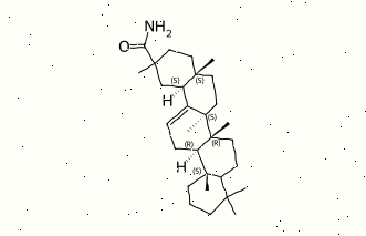 CC1(C(N)=O)CC[C@]2(C)CC[C@]3(C)C(=CC[C@@H]4[C@@]5(C)CCCC(C)(C)C5CC[C@]43C)[C@H]2C1